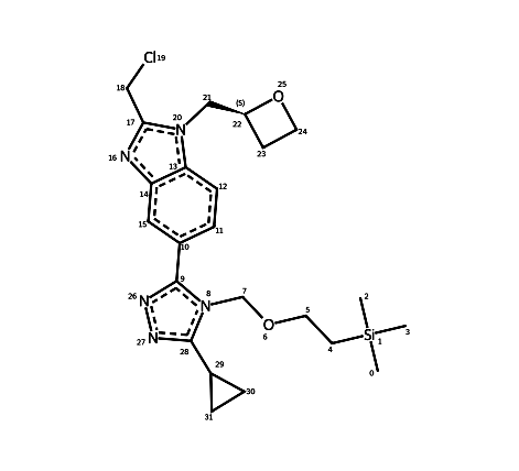 C[Si](C)(C)CCOCn1c(-c2ccc3c(c2)nc(CCl)n3C[C@@H]2CCO2)nnc1C1CC1